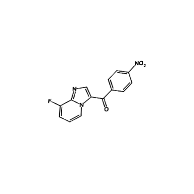 O=C(c1ccc([N+](=O)[O-])cc1)c1cnc2c(F)cccn12